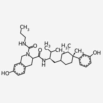 CCCNC(=O)N1Cc2cc(O)ccc2CC1C(=O)N[C@H](CC1CC[C@@](C)(c2cccc(O)c2)[C@@H](C)C1)C(C)C